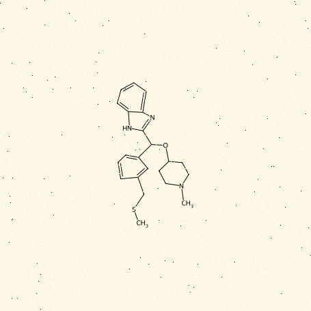 CSCc1cccc(C(OC2CCN(C)CC2)c2nc3ccccc3[nH]2)c1